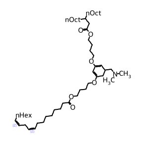 CCCCCC/C=C\C/C=C\CCCCCCCC(=O)OCCCCOC1=CC(OCCCCOC(=O)CC(CCCCCCCC)CCCCCCCC)=CC(CN(C)C)C1